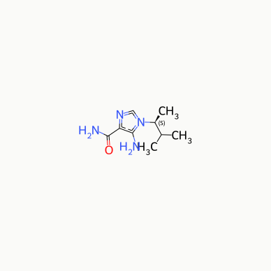 CC(C)[C@H](C)n1cnc(C(N)=O)c1N